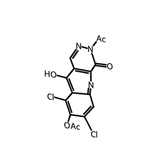 CC(=O)Oc1c(Cl)cc2nc3c(=O)n(C(C)=O)ncc3c(O)c2c1Cl